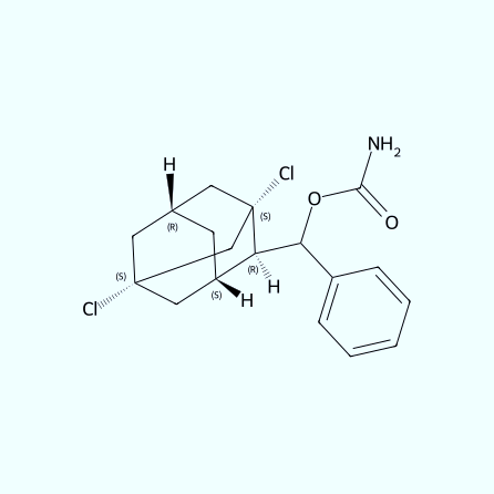 NC(=O)OC(c1ccccc1)[C@H]1[C@H]2C[C@@H]3C[C@](Cl)(C2)C[C@@]1(Cl)C3